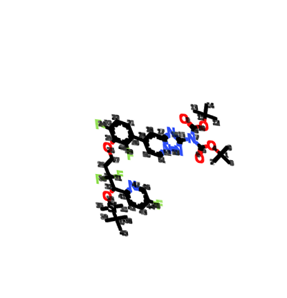 CC(C)(C)OC(=O)N(C(=O)OC(C)(C)C)c1nc2cc(-c3ccc(F)c(OCCC(F)(F)C(O[Si](C)(C)C(C)(C)C)c4ccc(F)cn4)c3F)ccn2n1